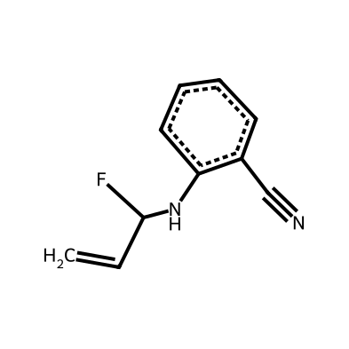 C=CC(F)Nc1ccccc1C#N